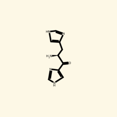 N[C@@H](Cc1c[nH]cn1)C(=O)c1c[nH][c]n1